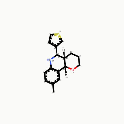 Cc1ccc2c(c1)[C@H]1OCCC[C@H]1[C@H](c1ccsc1)N2